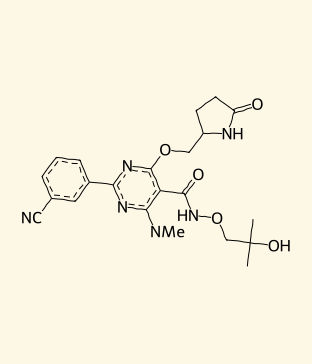 CNc1nc(-c2cccc(C#N)c2)nc(OCC2CCC(=O)N2)c1C(=O)NOCC(C)(C)O